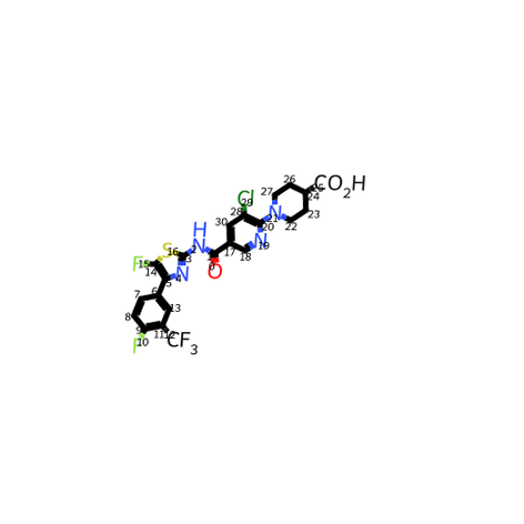 O=C(Nc1nc(-c2ccc(F)c(C(F)(F)F)c2)c(F)s1)c1cnc(N2CCC(C(=O)O)CC2)c(Cl)c1